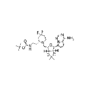 CC(C)(C)OC(=O)NCC[C@@H]1CC(F)(F)CCN1C[C@H]1O[C@@H](c2ccc3c(N)ncnn23)[C@@H]2OC(C)(C)O[C@@H]21